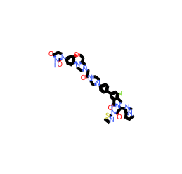 O=C1CCN(c2ccc3c(c2)OCCC2CN(CC(=O)N4CCN(c5ccc(-c6cc(F)c7c(c6)C(=O)N(C(C(=O)Nc6nccs6)c6ncn8c6CCC8)C7)cc5)CC4)CCN32)C(=O)N1